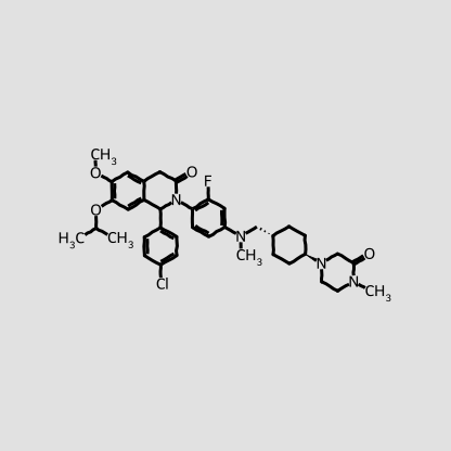 COc1cc2c(cc1OC(C)C)C(c1ccc(Cl)cc1)N(c1ccc(N(C)C[C@H]3CC[C@H](N4CCN(C)C(=O)C4)CC3)cc1F)C(=O)C2